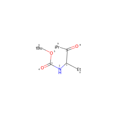 CCC(NC(=O)OC(C)(C)C)C(=O)C(C)C